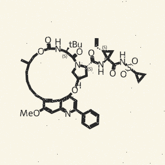 C=C[C@@H]1C[C@]1(NC(=O)[C@@H]1C[C@@H]2CN1C(=O)[C@H](C(C)(C)C)NC(=O)OCC(C)CCCCc1cc3c(cc(-c4ccccc4)nc3cc1OC)O2)C(=O)NS(=O)(=O)C1CC1